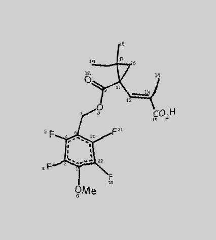 COc1c(F)c(F)c(COC(=O)C2(/C=C(\C)C(=O)O)CC2(C)C)c(F)c1F